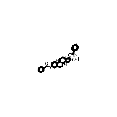 C[C@]12CC[C@@H]3c4ccc(OC(=O)c5ccccc5)cc4CC[C@H]3[C@@H]1C[C@@H](O)[C@@H]2OC(=O)c1ccccc1